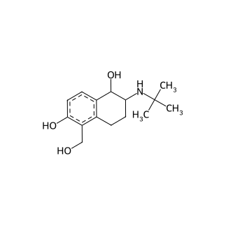 CC(C)(C)NC1CCc2c(ccc(O)c2CO)C1O